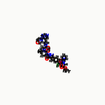 CCCOC(=O)[C@H](C)NP(=O)(Oc1ccccc1)[C@@H](F)c1ccc2sc(C(=O)N[C@H]3CCC[C@H]4CC[C@@H](C(=O)N5CC(c6cncnc6N6CCOCC6)C5)N4C3=O)cc2c1